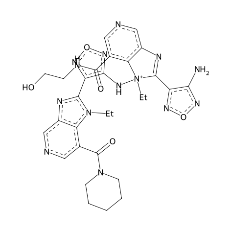 CCn1c(-c2nonc2N[N+]2(CC)C(c3nonc3N)=Nc3cncc(C(=O)NCCO)c32)nc2cncc(C(=O)N3CCCCC3)c21